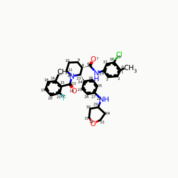 Cc1ccc(NC(=O)[C@H]2CCCN(C(=O)c3c(C)cccc3F)[C@H]2c2ccc(NC3CCOCC3)cc2)cc1Cl